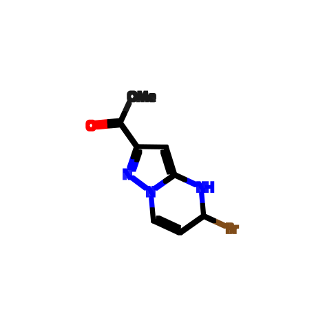 COC(=O)c1cc2n(n1)C=CC(Br)N2